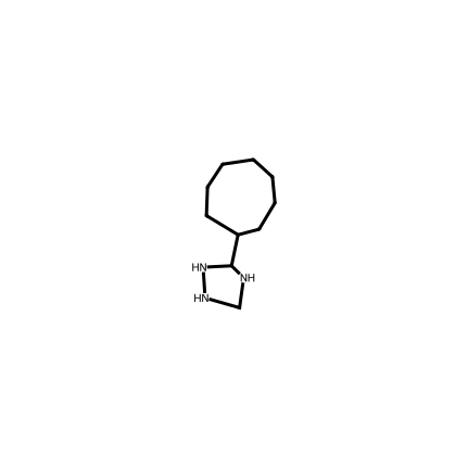 C1CCCC(C2NCNN2)CCC1